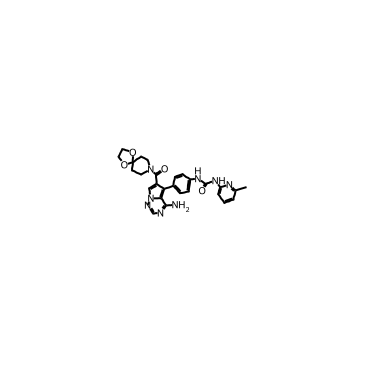 Cc1cccc(NC(=O)Nc2ccc(-c3c(C(=O)N4CCC5(CC4)OCCO5)cn4ncnc(N)c34)cc2)n1